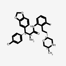 C[C@H]1CO[C@H](CCc2c(F)cccc2NC(=O)[C@@H](N)[C@H](c2ccc(Cl)cc2)c2ccc3c(c2)OCO3)CN1